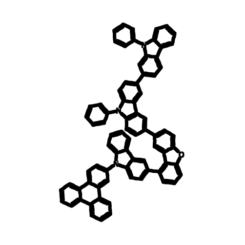 c1ccc(-n2c3ccc(-c4ccc5oc6cccc(-c7ccc8c(c7)c7ccccc7n8-c7ccc8c9ccccc9c9ccccc9c8c7)c6c5c4)cc3c3cc(-c4ccc5c6ccccc6n(-c6ccccc6)c5c4)ccc32)cc1